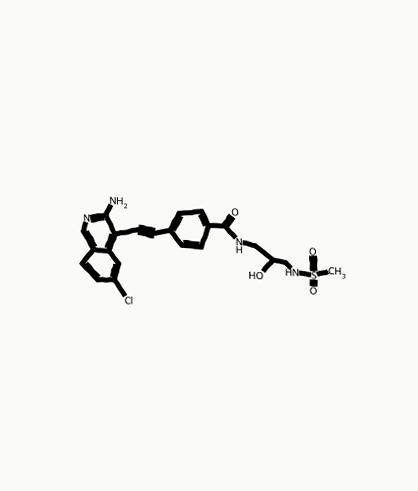 CS(=O)(=O)NCC(O)CNC(=O)c1ccc(C#Cc2c(N)ncc3ccc(Cl)cc23)cc1